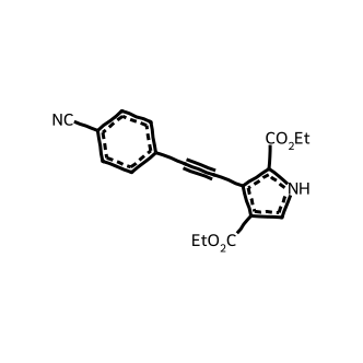 CCOC(=O)c1c[nH]c(C(=O)OCC)c1C#Cc1ccc(C#N)cc1